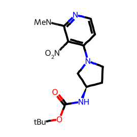 CNc1nccc(N2CC[C@@H](NC(=O)OC(C)(C)C)C2)c1[N+](=O)[O-]